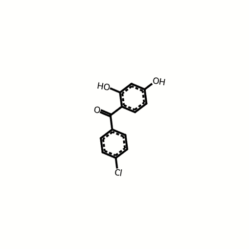 O=C(c1ccc(Cl)cc1)c1ccc(O)cc1O